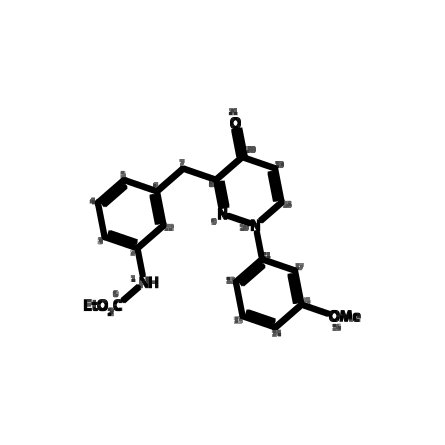 CCOC(=O)Nc1cccc(Cc2nn(-c3cccc(OC)c3)ccc2=O)c1